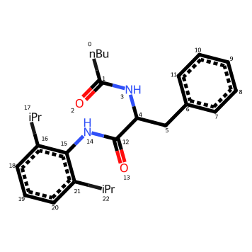 CCCCC(=O)NC(Cc1ccccc1)C(=O)Nc1c(C(C)C)cccc1C(C)C